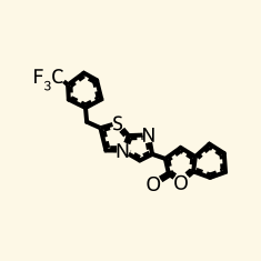 O=c1oc2ccccc2cc1-c1cn2cc(Cc3cccc(C(F)(F)F)c3)sc2n1